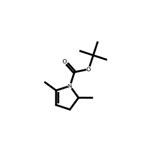 CC1=CCC(C)N1C(=O)OC(C)(C)C